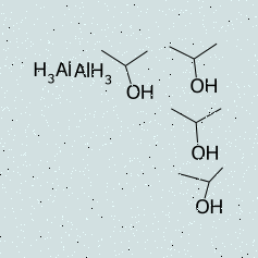 CC(C)O.CC(C)O.CC(C)O.CC(C)O.[AlH3].[AlH3]